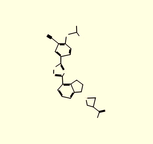 CC(C)Oc1ccc(-c2nc(-c3cccc4c3CC[C@@H]4N3CC(C(=O)O)C3)no2)cc1C#N